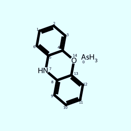 [AsH3].c1ccc2c(c1)Nc1ccccc1O2